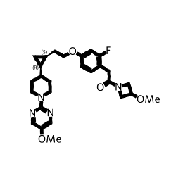 COc1cnc(N2CCC([C@H]3C[C@H]3CCOc3ccc(CC(=O)N4CC(OC)C4)c(F)c3)CC2)nc1